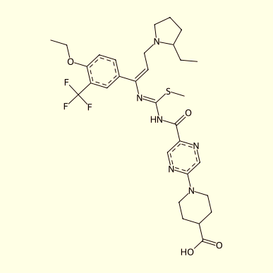 CCOc1ccc(C(=C\CN2CCCC2CC)/N=C(/NC(=O)c2cnc(N3CCC(C(=O)O)CC3)cn2)SC)cc1C(F)(F)F